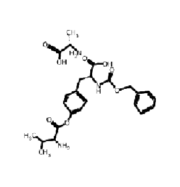 CC(C)[C@H](N)C(=O)Oc1ccc(C[C@H](NC(=O)OCc2ccccc2)C(=O)O)cc1.C[C@H](N)C(=O)O